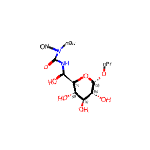 CCCCN(N=O)C(=O)NC(O)[C@H]1O[C@H](OCCC)[C@H](O)[C@@H](O)[C@@H]1O